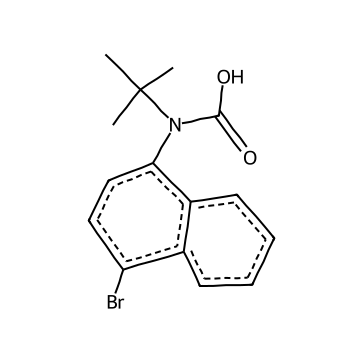 CC(C)(C)N(C(=O)O)c1ccc(Br)c2ccccc12